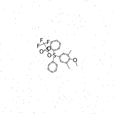 COc1c(C)cc(S(OS(=O)(=O)C(F)(F)F)(c2ccccc2)c2ccccc2)cc1C